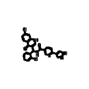 O=C(NC(c1ccccc1Cl)c1c[nH]c2cc(Cl)ccc2c1=O)c1ccc(-c2cn[nH]c2)nc1